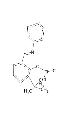 CC(C)(C)c1cccc(C=Nc2ccccc2)c1[O][Ti]([Cl])[Cl]